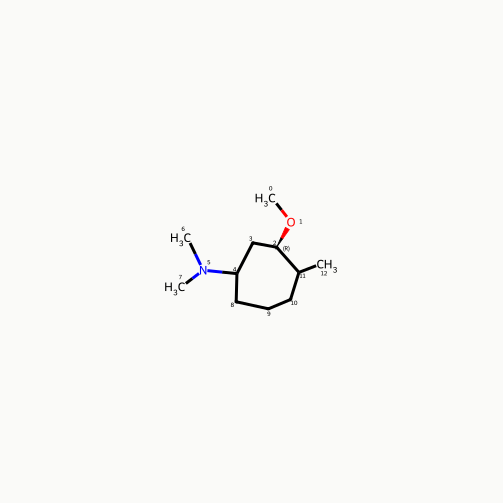 CO[C@@H]1CC(N(C)C)CCCC1C